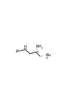 CC[C@@H](C)C[C@@H](N)CNC(C)C